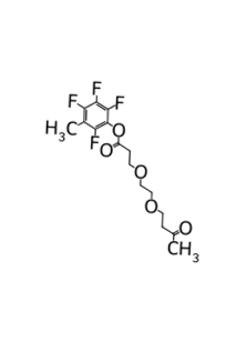 CC(=O)CCOCCOCCC(=O)Oc1c(F)c(C)c(F)c(F)c1F